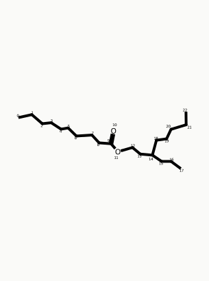 CCCCCCCCCC(=O)OCCC(CCC)CCCCC